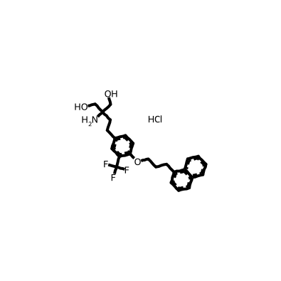 Cl.NC(CO)(CO)CCc1ccc(OCCCc2cccc3ccccc23)c(C(F)(F)F)c1